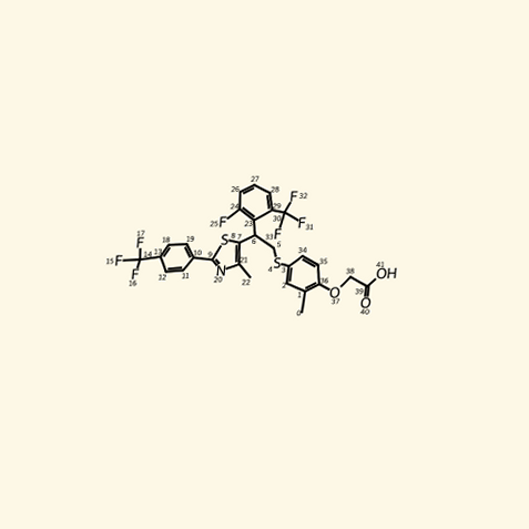 Cc1cc(SCC(c2sc(-c3ccc(C(F)(F)F)cc3)nc2C)c2c(F)cccc2C(F)(F)F)ccc1OCC(=O)O